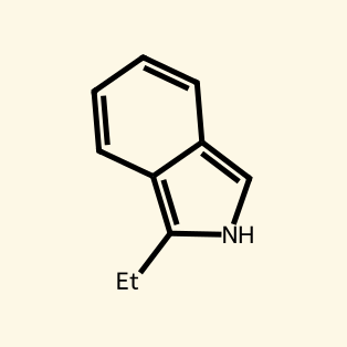 CCc1[nH]cc2ccccc12